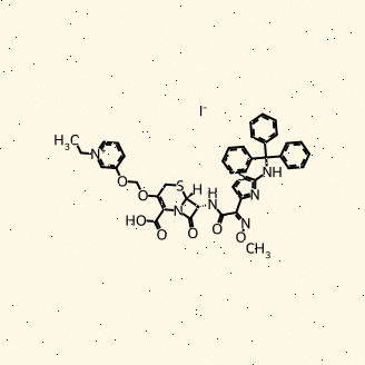 CC[n+]1cccc(OCOC2=C(C(=O)O)N3C(=O)[C@@H](NC(=O)/C(=N\OC)c4csc(NC(c5ccccc5)(c5ccccc5)c5ccccc5)n4)[C@H]3SC2)c1.[I-]